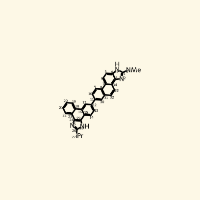 CNc1nc2c(ccc3c4ccc(-c5ccc6c(c5)c5ccccc5c5nc(C(C)C)[nH]c65)cc4ccc32)[nH]1